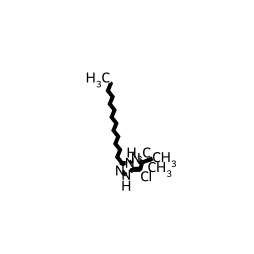 CCCCCCCCCCCCCc1n[nH]c2c(Cl)c(C(C)(C)C)nn12